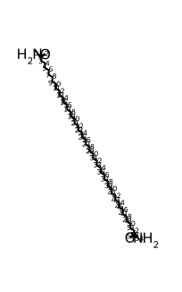 NC(=O)CCCCCCCCCCCCCCCCCCCCCCCCCCCCCCCCCCCCCCCCCCCCCCCCCCC(N)=O